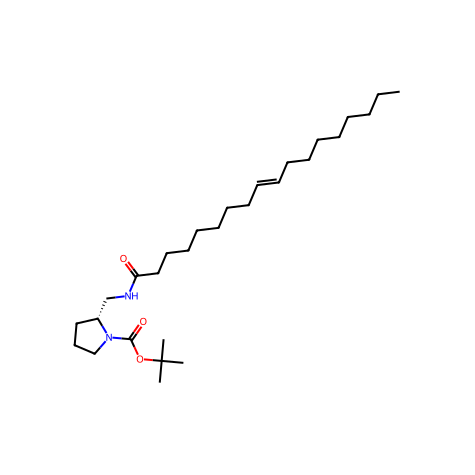 CCCCCCCCC=CCCCCCCCC(=O)NC[C@H]1CCCN1C(=O)OC(C)(C)C